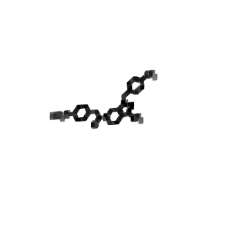 O=C(O)C1CCC(CC(=O)N2CCc3c(C(F)(F)F)nn(Cc4ccc(C(F)(F)F)cc4)c3C2)CC1